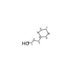 OC[CH]CC1CCCCC1